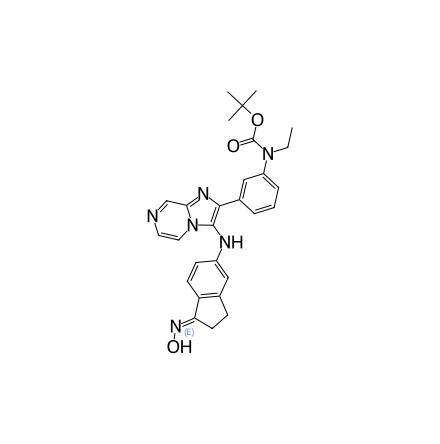 CCN(C(=O)OC(C)(C)C)c1cccc(-c2nc3cnccn3c2Nc2ccc3c(c2)CC/C3=N\O)c1